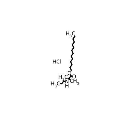 CCCCCCCCCCCCCCOC(=O)C(C)(C)NCCC.Cl